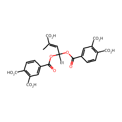 CCC(/C=C(\C)C(=O)O)(OC(=O)c1ccc(C(=O)O)c(C(=O)O)c1)OC(=O)c1ccc(C(=O)O)c(C(=O)O)c1